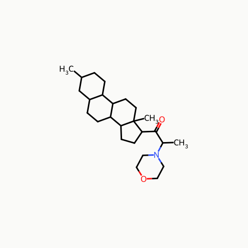 CC1CCC2C(CCC3C2CCC2(C)C(C(=O)C(C)N4CCOCC4)CCC32)C1